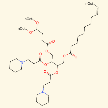 CCCCCCCC/C=C\CCCCCCCC(=O)OCC(OC(=O)CCN1CCCCC1)C(COC(=O)CCC(OCCCCCCCC)OCCCCCCCC)OC(=O)CCN1CCCCC1